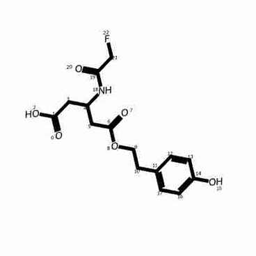 O=C(O)CC(CC(=O)OCCc1ccc(O)cc1)NC(=O)CF